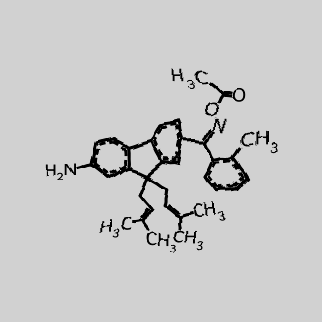 CC(=O)O/N=C(\c1ccc2c(c1)C(CC=C(C)C)(CC=C(C)C)c1cc(N)ccc1-2)c1ccccc1C